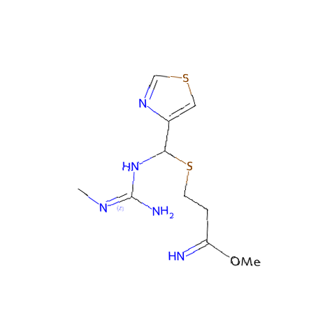 C/N=C(/N)NC(SCCC(=N)OC)c1cscn1